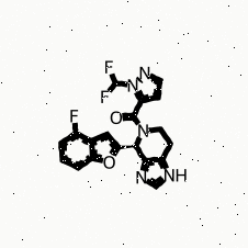 O=C(c1ccnn1C(F)F)N1CCc2[nH]cnc2[C@H]1c1cc2c(F)cccc2o1